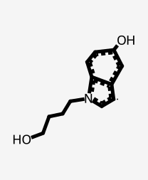 OCCCCn1c[c]c2cc(O)ccc21